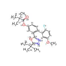 COc1ccc(F)c(-c2ccc(OC(=O)C(C)(C)C)cc2-c2nnc(C(C)(C)C)o2)c1